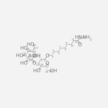 CC(=O)N[C@@H]1[C@@H](OCCCCCCCCC(=O)NN)O[C@H](CO)[C@H](O)[C@@H]1O[C@@H]1O[C@H](CO)[C@H](O)[C@H](O)[C@H]1O